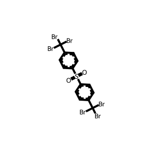 O=S(=O)(c1ccc(C(Br)(Br)Br)cc1)c1ccc(C(Br)(Br)Br)cc1